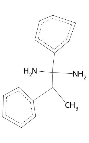 CC(c1ccccc1)C(N)(N)c1ccccc1